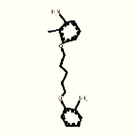 Cc1c(N)cccc1OCCCCCOc1ccccc1N